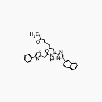 CCC(=O)CCCCC[C@H](NC(=O)Cc1nc(-c2ccccc2)cs1)c1ncc(-c2ccc3ccccc3c2)[nH]1